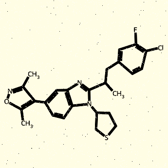 Cc1noc(C)c1-c1ccc2c(c1)nc(C(C)Cc1ccc(Cl)c(F)c1)n2C1CCSC1